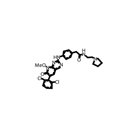 COn1c(=O)c(-c2c(Cl)cccc2Cl)cc2cnc(Nc3ccc(CC(=O)NCCN4CCCC4)cc3)nc21